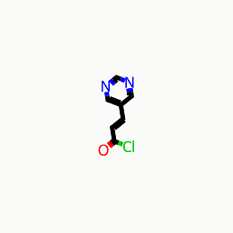 O=C(Cl)/C=C/c1cncnc1